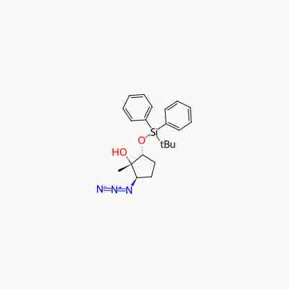 CC(C)(C)[Si](O[C@@H]1CC[C@@H](N=[N+]=[N-])[C@]1(C)O)(c1ccccc1)c1ccccc1